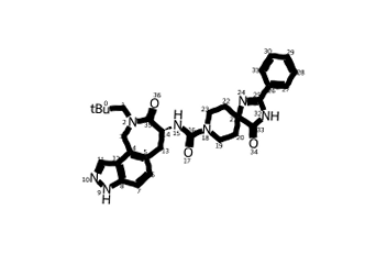 CC(C)(C)CN1Cc2c(ccc3[nH]ncc23)C[C@@H](NC(=O)N2CCC3(CC2)N=C(c2ccccc2)NC3=O)C1=O